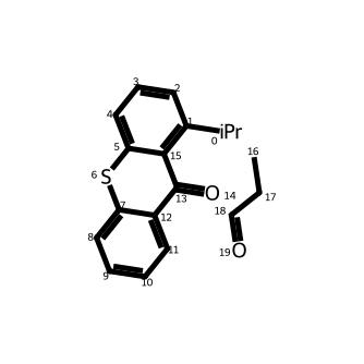 CC(C)c1cccc2sc3ccccc3c(=O)c12.CCC=O